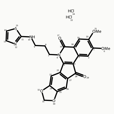 COc1cc2c3c(n(CCCNc4nccs4)c(=O)c2cc1OC)-c1cc2c(cc1C3=O)OCO2.Cl.Cl